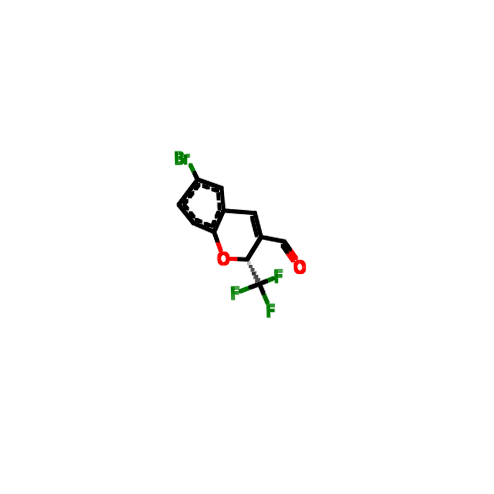 O=CC1=Cc2cc(Br)ccc2O[C@H]1C(F)(F)F